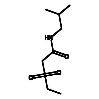 CCS(=O)(=O)CC(=O)NCC(C)C